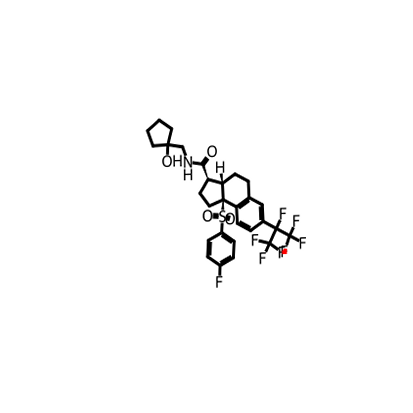 O=C(NCC1(O)CCCC1)[C@@H]1CC[C@@]2(S(=O)(=O)c3ccc(F)cc3)c3ccc(C(F)(C(F)(F)F)C(F)(F)F)cc3CC[C@@H]12